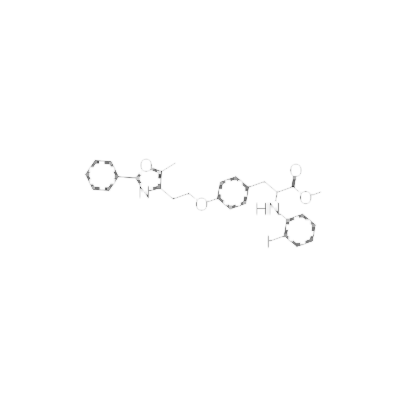 COC(=O)C(Cc1ccc(OCCc2nc(-c3ccccc3)oc2C)cc1)Nc1ccccc1I